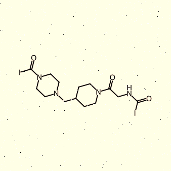 O=C(I)NCC(=O)N1CCC(CN2CCN(C(=O)I)CC2)CC1